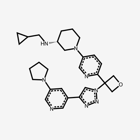 c1ncc(N2CCCC2)cc1-c1cn(C2(c3ccc(N4CCC[C@@H](NCC5CC5)C4)cn3)COC2)nn1